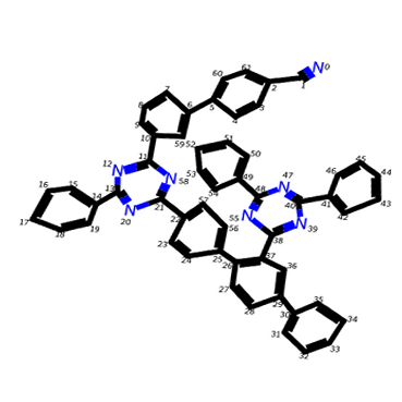 N#Cc1ccc(-c2cccc(-c3nc(-c4ccccc4)nc(-c4ccc(-c5ccc(-c6ccccc6)cc5-c5nc(-c6ccccc6)nc(-c6ccccc6)n5)cc4)n3)c2)cc1